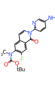 CN(C(=O)OC(C)(C)C)c1cc2ccn(-c3ccc(N)cn3)c(=O)c2cc1F